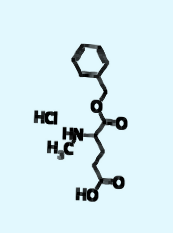 CNC(CCC(=O)O)C(=O)OCc1ccccc1.Cl